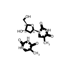 Cc1c[nH]c(=O)[nH]c1=O.Cc1cn([C@H]2C[C@H](O)[C@@H](CO)O2)c(=O)[nH]c1=O